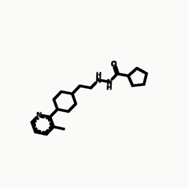 Cc1cccnc1C1CCC(CCNNC(=O)C2CCCC2)CC1